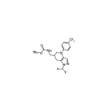 CC(C)(C)OC(=O)NCC1Cc2c(cnn2C(F)F)N(c2ccc(C(F)(F)F)cc2)C1